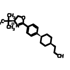 CCC[C@H]1CC[C@H](c2ccc(C3=N[C@@H](C(C)(C)C)CO3)cc2)CC1